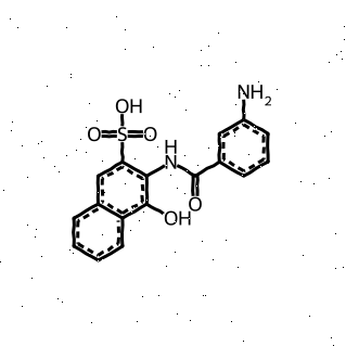 Nc1cccc(C(=O)Nc2c(S(=O)(=O)O)cc3ccccc3c2O)c1